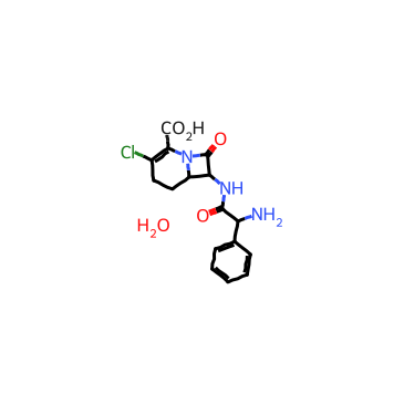 NC(C(=O)NC1C(=O)N2C(C(=O)O)=C(Cl)CCC12)c1ccccc1.O